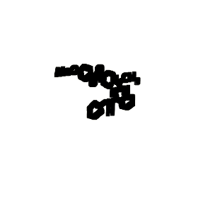 COc1ccc(S(=O)(=O)N2CCN(C(C)c3nc(NCc4ccccc4)c4ccccc4n3)CC2)cc1